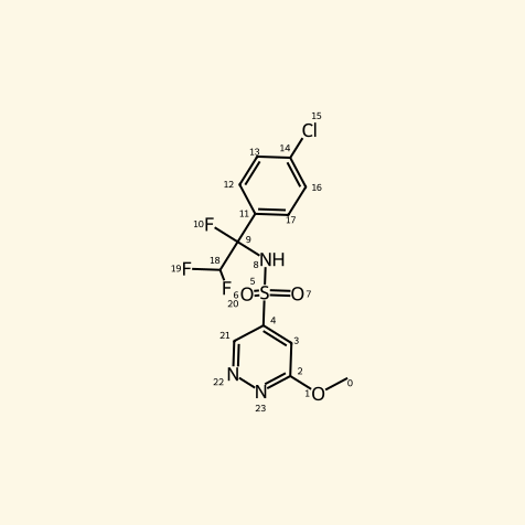 COc1cc(S(=O)(=O)NC(F)(c2ccc(Cl)cc2)C(F)F)cnn1